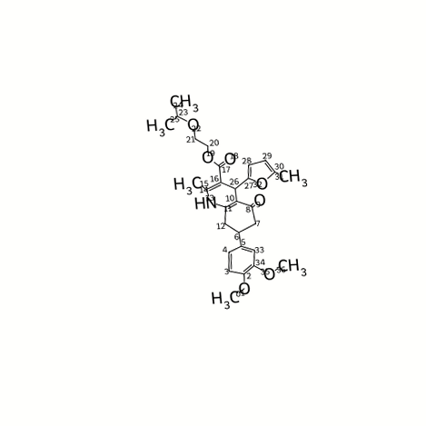 COc1ccc(C2CC(=O)C3=C(C2)NC(C)=C(C(=O)OCCOC(C)C)C3c2ccc(C)o2)cc1OC